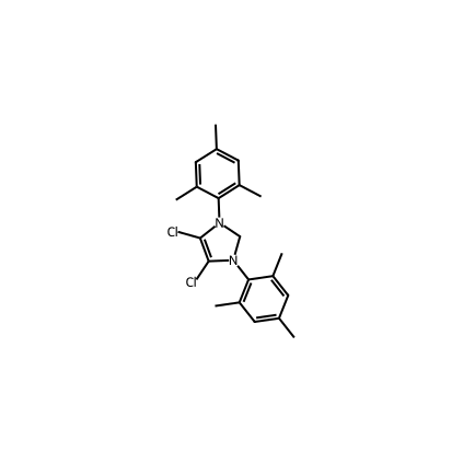 Cc1cc(C)c(N2CN(c3c(C)cc(C)cc3C)C(Cl)=C2Cl)c(C)c1